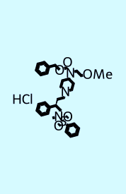 COCCN(C(=O)OCc1ccccc1)C1CCN(CC[C@@H](CN(C)S(=O)(=O)c2ccccc2)c2ccccc2)CC1.Cl